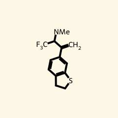 C=C(c1ccc2c(c1)SCC2)C(NC)C(F)(F)F